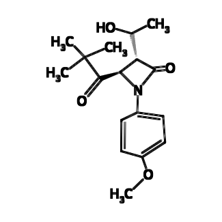 COc1ccc(N2C(=O)[C@@H](C(C)O)[C@@H]2C(=O)C(C)(C)C)cc1